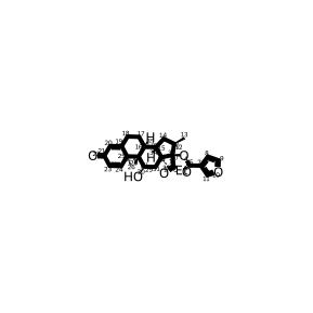 CCC(=O)[C@@]1(OC(=O)c2ccoc2)[C@H](C)C[C@H]2[C@@H]3CCC4=CC(=O)C=C[C@]4(C)[C@@]3(C)[C@@H](O)C[C@@]21C